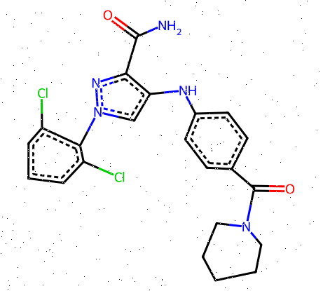 NC(=O)c1nn(-c2c(Cl)cccc2Cl)cc1Nc1ccc(C(=O)N2CCCCC2)cc1